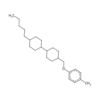 CCCCCC1CCC(C2CCC(COc3ccc(C)cc3)CC2)CC1